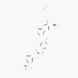 COCCOc1cc2nccc(Oc3ccc(NC(=O)Nc4cccc(S(C)(=O)=O)c4)cc3)c2cc1C#N